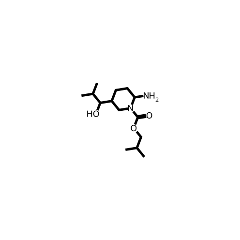 CC(C)COC(=O)N1CC(C(O)C(C)C)CCC1N